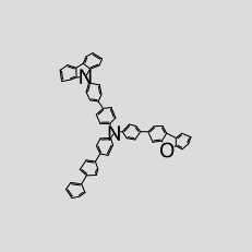 c1ccc(-c2ccc(-c3ccc(N(c4ccc(-c5ccc(-n6c7ccccc7c7ccccc76)cc5)cc4)c4ccc(-c5ccc6c(c5)oc5ccccc56)cc4)cc3)cc2)cc1